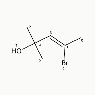 CC(Br)=CC(C)(C)O